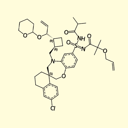 C=CCOC(C)(C)C(=O)N=S(=O)(NC(=O)C(C)C)c1ccc2c(c1)N(C[C@@H]1CC[C@H]1C(C=C)OC1CCCCO1)C[C@@]1(CCCc3cc(Cl)ccc31)CO2